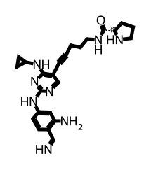 N=Cc1ccc(Nc2ncc(C#CCCCNC(=O)[C@@H]3CCCN3)c(NC3CC3)n2)cc1N